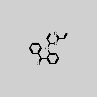 C=CC(=O)OC(C=C)Oc1ccccc1C(=O)c1ccccc1